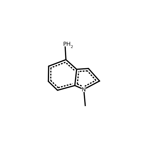 Cn1ccc2c(P)cccc21